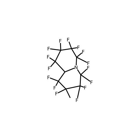 CC1(F)C(F)(F)C2N(C(F)(F)C1(F)F)C(F)(F)C(F)(F)C(F)(F)C2(F)F